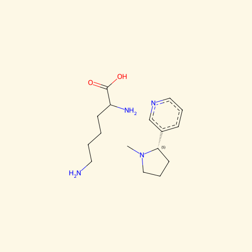 CN1CCC[C@H]1c1cccnc1.NCCCCC(N)C(=O)O